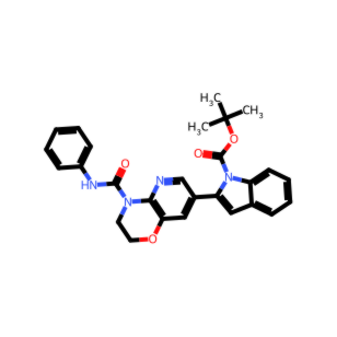 CC(C)(C)OC(=O)n1c(-c2cnc3c(c2)OCCN3C(=O)Nc2ccccc2)cc2ccccc21